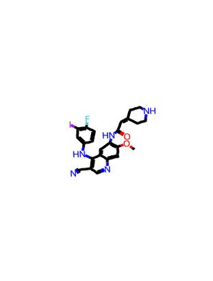 COc1cc2ncc(C#N)c(Nc3ccc(F)c(I)c3)c2cc1NC(=O)C=C1CCNCC1